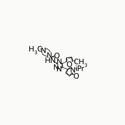 Cc1ccc(-c2nc(NC(=O)N3CCN(C)CC3)nnc2-c2ccc(=O)n(C(C)C)c2)o1